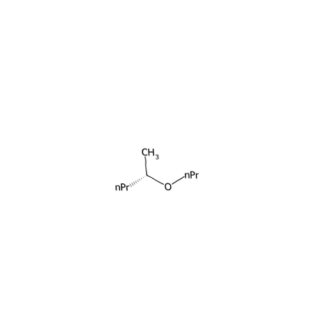 CCCO[C@@H](C)CCC